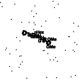 CCCCCC[C@H](CN(C=O)OCc1ccccc1)C(=O)NCNC(=O)c1ccc(-c2cc(OC)ccc2OC)o1